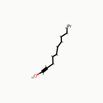 CC(C)CCCCCCCC#C[O]